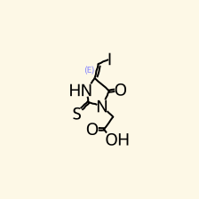 O=C(O)CN1C(=O)/C(=C\I)NC1=S